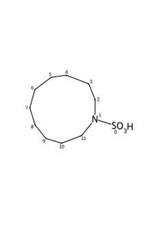 O=S(=O)(O)N1CCCCCCCCCC1